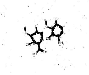 COc1c(F)ccc(C(=O)O)c1Cl.COc1c(F)ccc(N)c1Cl